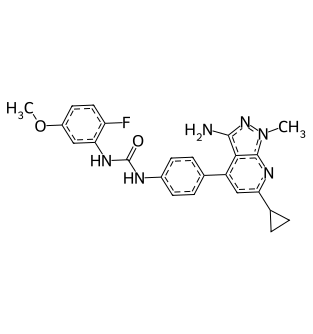 COc1ccc(F)c(NC(=O)Nc2ccc(-c3cc(C4CC4)nc4c3c(N)nn4C)cc2)c1